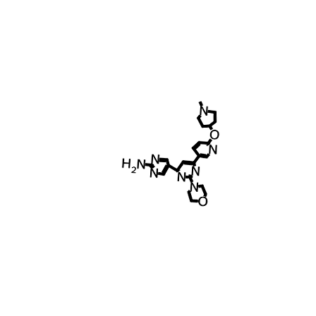 CN1CCC(Oc2ccc(-c3cc(-c4cnc(N)nc4)nc(N4CCOCC4)n3)cn2)CC1